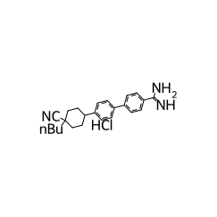 CCCCC1(C#N)CCC(c2ccc(-c3ccc(C(=N)N)cc3)cc2)CC1.Cl